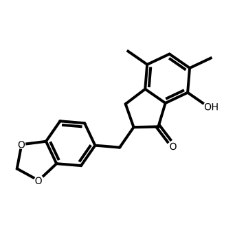 Cc1cc(C)c2c(c1O)C(=O)C(Cc1ccc3c(c1)OCO3)C2